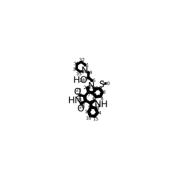 CSc1cccc2c(C3=C(c4c[nH]c5ccccc45)C(=O)NC3=O)cn(CC(O)CN3CCCCC3)c12